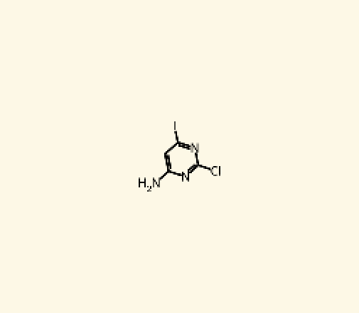 Nc1cc(I)nc(Cl)n1